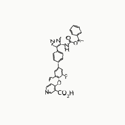 C[C@@H](OC(=O)Nc1c(-c2ccc(-c3cc(F)c(Oc4ccncc4C(=O)O)c(F)c3)cc2)cnn1C)c1ccccc1